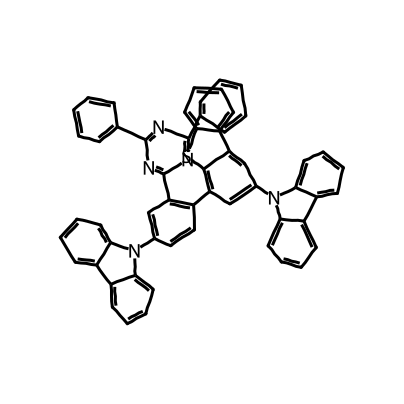 c1ccc(-c2nc(-c3ccccc3)nc(-c3cc(-n4c5ccccc5c5ccccc54)ccc3-c3cc(-n4c5ccccc5c5ccccc54)cc4c3sc3ccccc34)n2)cc1